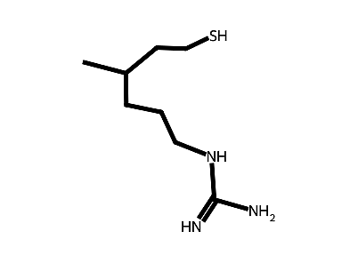 CC(CCS)CCCNC(=N)N